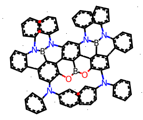 c1ccc(N2B3c4c(cc(N(c5ccccc5)c5ccccc5)c5c4-c4c(cc6c7c4B(O5)Oc4c(N(c5ccccc5)c5ccccc5)cc5c(c4-7)B(N(c4ccccc4)c4ccccc4-5)N6c4ccccc4)N3c3ccccc3)-c3ccccc32)cc1